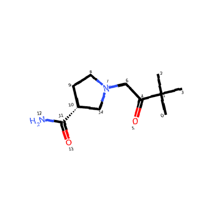 CC(C)(C)C(=O)CN1CC[C@@H](C(N)=O)C1